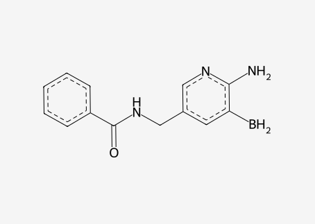 Bc1cc(CNC(=O)c2ccccc2)cnc1N